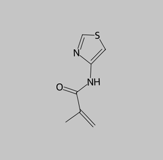 C=C(C)C(=O)Nc1cscn1